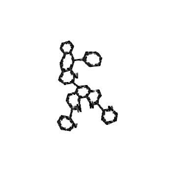 c1ccc(-c2c3ccccc3cc3ccc(-c4cc5ccc(-c6ccccn6)nc5c5nc(-c6ccccn6)ccc45)nc23)cc1